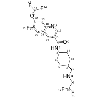 O=C(N[C@H]1CC[C@H](CNCC(F)F)CC1)c1cnc2cc(OC(F)F)c(F)cc2c1